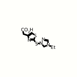 CCN1C=NN(Sc2nc(CC(=O)O)cs2)C1